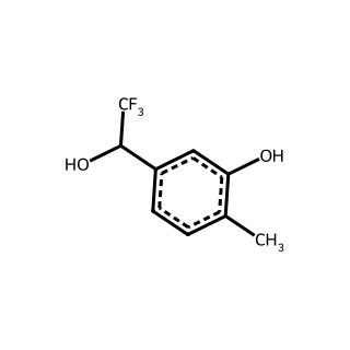 Cc1ccc(C(O)C(F)(F)F)cc1O